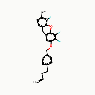 C=CCCc1ccc(COc2cc3c(c(F)c2F)Oc2c(ccc(CCC)c2F)C3)cc1